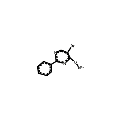 CCCOc1nc(-c2ccccc2)ncc1Br